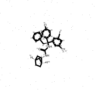 O=C(N[C@H]1C[C@@H]2CC[C@H]1C2)N[C@@](Cc1ccccc1)(c1cc(F)cc(C(F)(F)F)c1)c1ccc(Cl)cn1